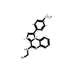 CC(C)CNc1nc2ccccc2n2c(-c3ccc(C(=O)O)cc3)cnc12